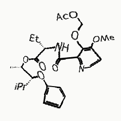 CC[C@H](NC(=O)c1nccc(OC)c1OCOC(C)=O)C(=O)O[C@@H](C)[C@H](Oc1ccccc1)C(C)C